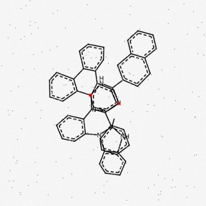 CC1Nc2ccccc2N1c1ccccc1-c1cccc(-c2ccccc2-c2ccccc2C2N=C(c3ccccc3)N=C(c3ccc4ccccc4c3)N2)c1